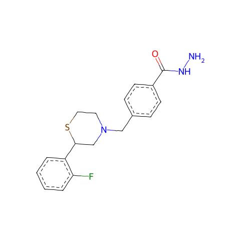 NNC(=O)c1ccc(CN2CCSC(c3ccccc3F)C2)cc1